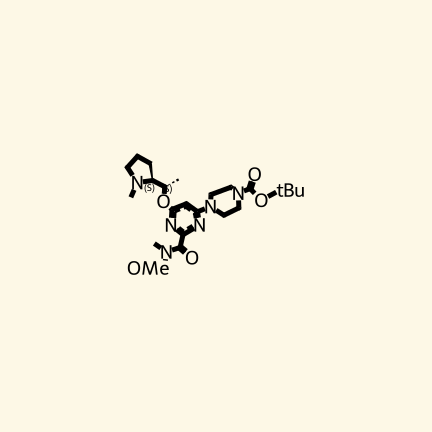 CON(C)C(=O)c1nc(O[C@@H](C)[C@@H]2CCCN2C)cc(N2CCN(C(=O)OC(C)(C)C)CC2)n1